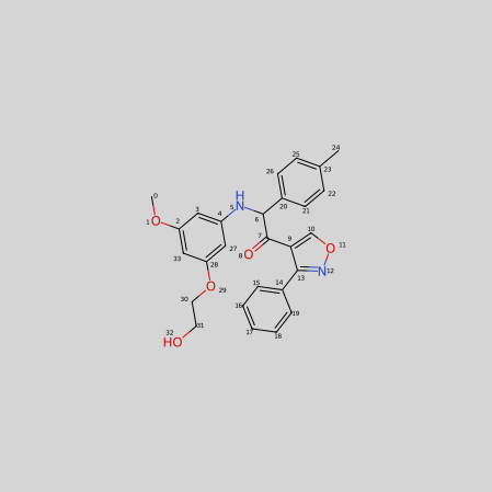 COc1cc(NC(C(=O)c2conc2-c2ccccc2)c2ccc(C)cc2)cc(OCCO)c1